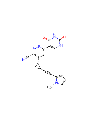 Cn1cccc1C#C[C@H]1C[C@@H]1c1cc(-c2c[nH]c(=O)[nH]c2=O)nnc1C#N